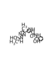 CCC(CO)Nc1ncc(C)c(-c2c[nH]c(OC(=O)NC(CO)c3ccccc3)c2)n1